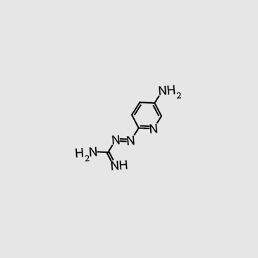 N=C(N)N=Nc1ccc(N)cn1